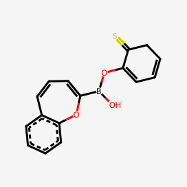 OB(OC1=CC=CCC1=S)C1=CC=Cc2ccccc2O1